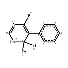 CCC1=C(c2ccccc2)C(CC)(C(C)C)NC=N1